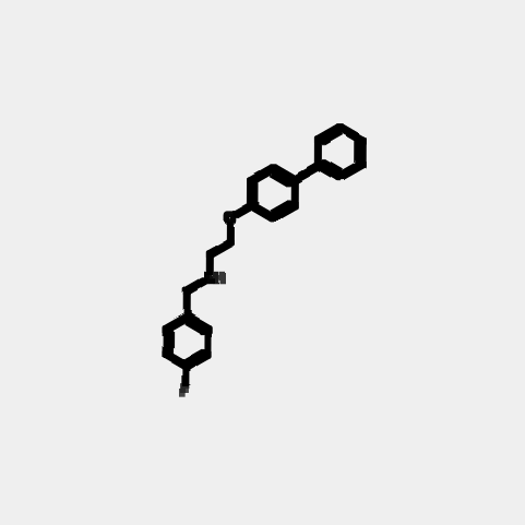 Fc1ccc(CNCCOc2ccc(-c3ccccc3)cc2)cc1